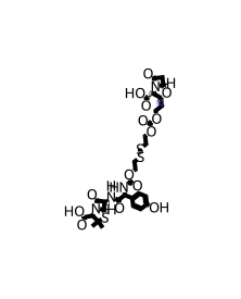 CC1(C)S[C@@H]2[C@H](NC(=O)C(NC(=O)OCCSSCCOC(=O)OC/C=C3/O[C@@H]4CC(=O)N4[C@H]3C(=O)O)c3ccc(O)cc3)C(=O)N2C1C(=O)O